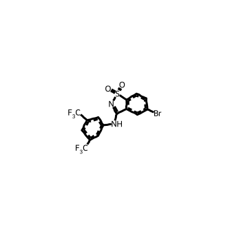 O=S1(=O)N=C(Nc2cc(C(F)(F)F)cc(C(F)(F)F)c2)c2cc(Br)ccc21